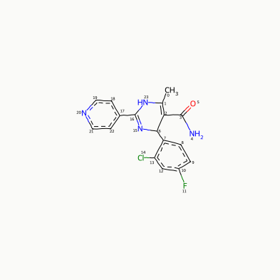 CC1=C(C(N)=O)C(c2ccc(F)cc2Cl)N=C(c2ccncc2)N1